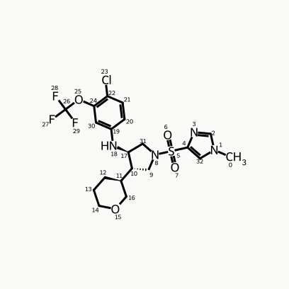 Cn1cnc(S(=O)(=O)N2C[C@H]([C@@H]3CCCOC3)[C@@H](Nc3ccc(Cl)c(OC(F)(F)F)c3)C2)c1